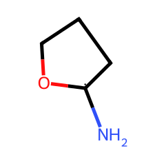 N[C]1CCCO1